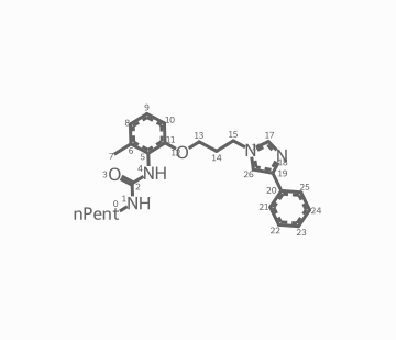 CCCCCNC(=O)Nc1c(C)cccc1OCCCn1cnc(-c2ccccc2)c1